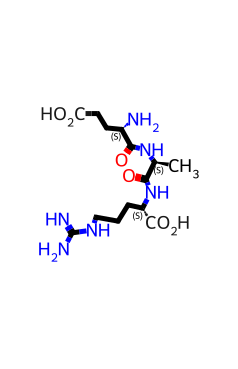 C[C@H](NC(=O)[C@@H](N)CCC(=O)O)C(=O)N[C@@H](CCCNC(=N)N)C(=O)O